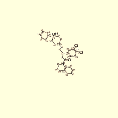 O=C(CC(CCN1CCC(O)(c2ccccc2)CC1)c1ccc(Cl)c(Cl)c1)N1CCCc2ccccc21